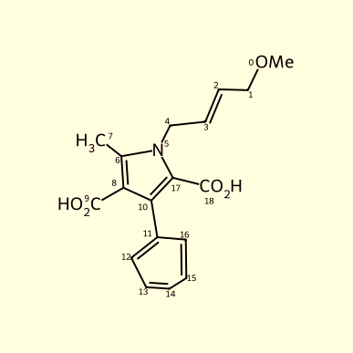 COCC=CCn1c(C)c(C(=O)O)c(-c2ccccc2)c1C(=O)O